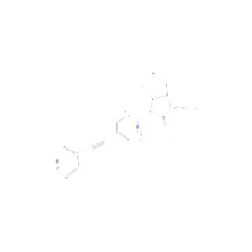 CN1C(=O)C(c2ncc(C#Cc3ccccc3)cn2)C2CCCC21